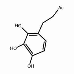 CC(=O)CCc1ccc(O)c(O)c1O